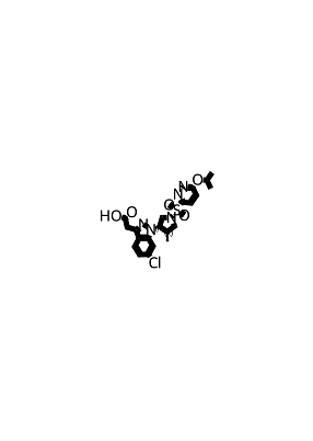 CC(C)Oc1ccc(S(=O)(=O)N2C[C@@H](C)[C@@H](n3nc(CC(=O)O)c4ccc(Cl)cc43)C2)nn1